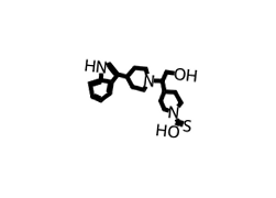 OCC(C1CCN(C(O)=S)CC1)N1CCC(c2c[nH]c3ccccc23)CC1